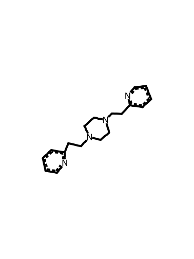 c1ccc(CCN2CCN(CCc3ccccn3)CC2)nc1